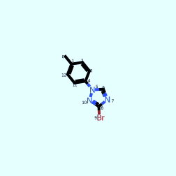 Cc1ccc(-n2cnc(Br)n2)cc1